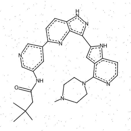 CN1CCN(c2nccc3[nH]c(-c4n[nH]c5ccc(-c6cncc(NC(=O)CC(C)(C)C)c6)nc45)cc23)CC1